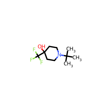 CC(C)(C)N1CCC(O)(C(F)(F)F)CC1